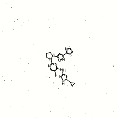 Fc1cnc(N2CCC[C@H]2c2cc(-c3nccs3)no2)nc1Nc1cc(C2CC2)[nH]n1